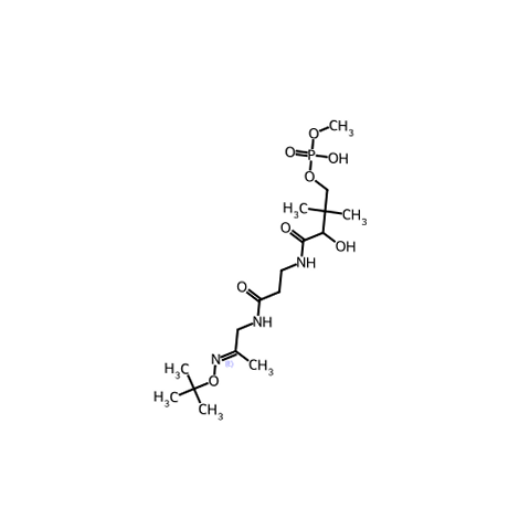 COP(=O)(O)OCC(C)(C)C(O)C(=O)NCCC(=O)NC/C(C)=N/OC(C)(C)C